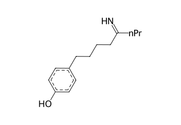 CCCC(=N)CCCCc1ccc(O)cc1